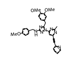 COc1ccc(CNc2nc(Cc3ccc(OC)c(OC)c3)n(-c3cc(C#Cc4ccccn4)nc(C)n3)n2)cc1